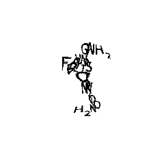 NC(=O)COCCn1cc2cc(C3(Br)NC(C(N)=O)=CS3)c(-c3ccc(F)cc3)cc2n1